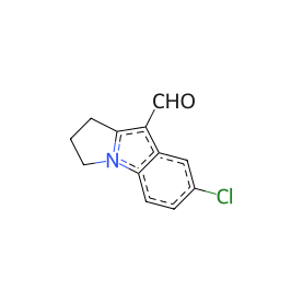 O=Cc1c2n(c3ccc(Cl)cc13)CCC2